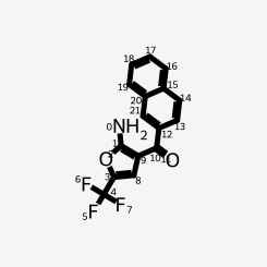 Nc1oc(C(F)(F)F)cc1C(=O)c1ccc2ccccc2c1